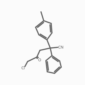 Cc1ccc(C(C#N)(CC(=O)CCl)c2ccccc2)cc1